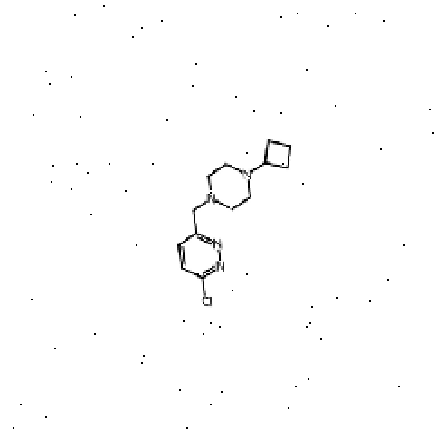 Clc1ccc(CN2CCN(C3CCC3)CC2)nn1